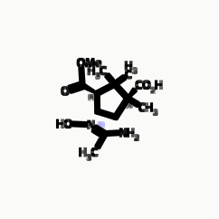 C/C(N)=N\O.COC(=O)[C@@H]1CC[C@](C)(C(=O)O)C1(C)C